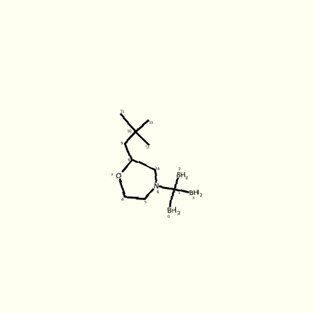 BC(B)(B)N1CCOC(CC(C)(C)C)C1